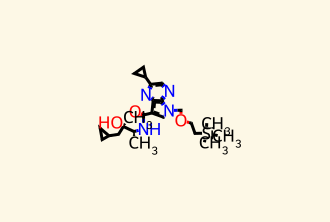 C[C@H](NC(=O)c1cn(COCC[Si](C)(C)C)c2ncc(C3CC3)nc12)[C@@](C)(O)CC1CC1